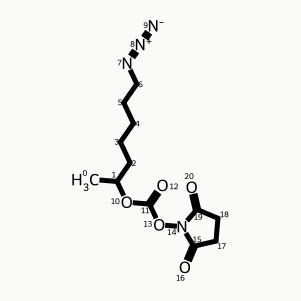 CC(CCCCCN=[N+]=[N-])OC(=O)ON1C(=O)CCC1=O